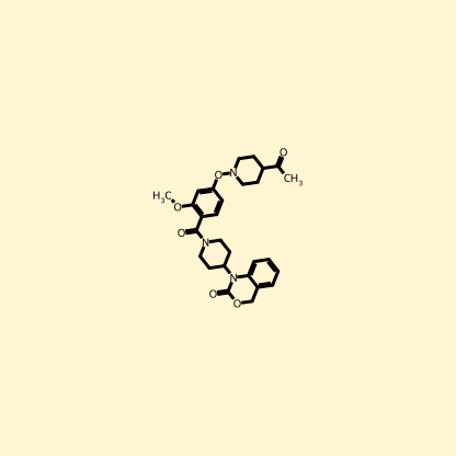 COc1cc(ON2CCC(C(C)=O)CC2)ccc1C(=O)N1CCC(N2C(=O)OCc3ccccc32)CC1